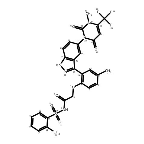 Cc1ccc(OCC(=O)NS(=O)(=O)c2ccccc2C)c(-c2nsc3ccc(-n4c(=O)cc(C(F)(F)F)n(C)c4=O)cc23)c1